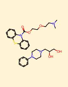 CN(C)CCOCCOC(=O)N1c2ccccc2Sc2ccccc21.OC[C@@H](O)CN1CCN(c2ccccc2)CC1